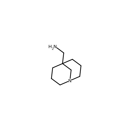 NCC12CCCN(CCC1)C2